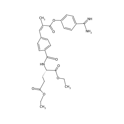 CCOC(=O)CC[C@H](NC(=O)c1ccc(C=C(C)C(=O)Oc2ccc(C(=N)N)cc2)cc1)C(=O)OCC